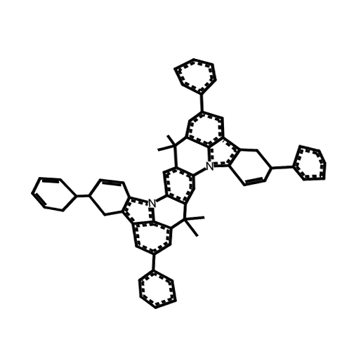 CC1(C)c2cc3c(cc2-n2c4c(c5cc(-c6ccccc6)cc1c52)CC(c1ccccc1)C=C4)C(C)(C)c1cc(-c2ccccc2)cc2c4c(n-3c12)C=CC(C1C=CC=CC1)C4